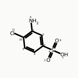 Nc1cc(S(=O)(=O)O)ccc1Cl